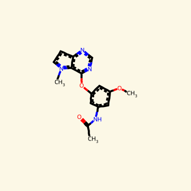 COc1cc(NC(C)=O)cc(Oc2ncnc3ccn(C)c23)c1